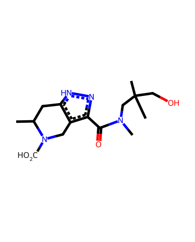 CC1Cc2[nH]nc(C(=O)N(C)CC(C)(C)CO)c2CN1C(=O)O